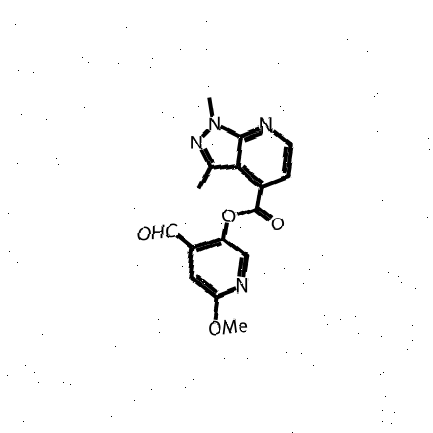 COc1cc(C=O)c(OC(=O)c2ccnc3c2c(C)nn3C)cn1